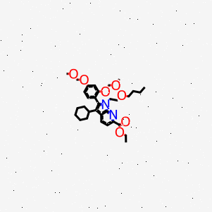 CCCCOCCn1c(-c2ccc(OCOC)cc2OCOC)c(C2CCCCC2)c2ccc(C(=O)OCC)nc21